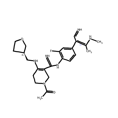 CN/C(C)=C(\C=N)c1ccc(NC(=N)C2=C(NC[C@H]3CCOC3)CCN(C(C)=O)C2)c(F)c1